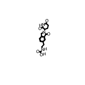 O=C(O)NCCc1ccc2c(c1)C(=O)N(C1CCC(=O)NC1=O)C2